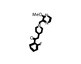 COc1nccnc1CN1CCC(CC(=O)c2ccccc2F)CC1